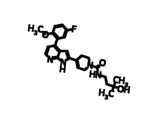 COc1ccc(F)cc1-c1ccnc2[nH]c(C3=CCN(C(=O)NCCC(C)(C)O)CC3)cc12